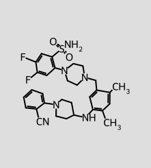 Cc1cc(C)c(NC2CCN(c3ccccc3C#N)CC2)cc1CN1CCN(c2cc(F)c(F)cc2S(N)(=O)=O)CC1